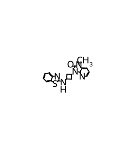 Cn1c(=O)n([C@H]2C[C@H](Nc3nc4ccccc4s3)C2)c2ncccc21